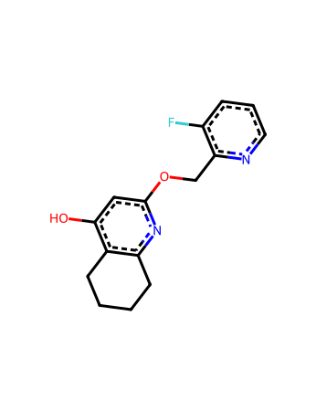 Oc1cc(OCc2ncccc2F)nc2c1CCCC2